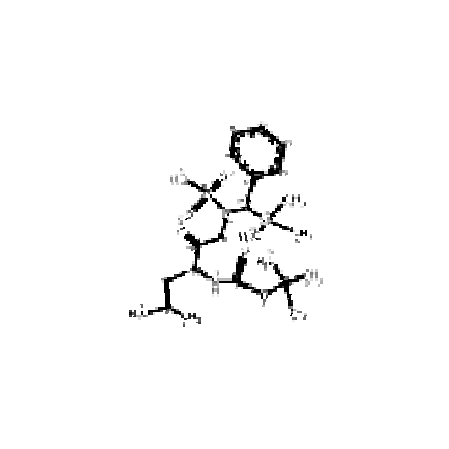 CC(C)C[C@H](NC(=O)OC(C)(C)C)C(=O)CN(C(c1ccccc1)[Si](C)(C)C)S(=O)(=O)O